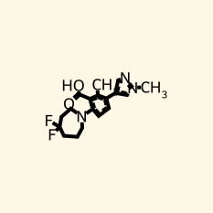 Cc1c(-c2cnn(C)c2)ccc(N2CCCC(F)(F)CC2)c1C(=O)O